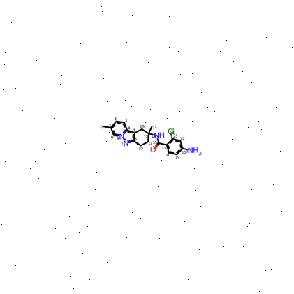 Cc1ccc2c3c(nn2c1)CCC(C)(NC(=O)c1ccc(N)cc1Cl)C3